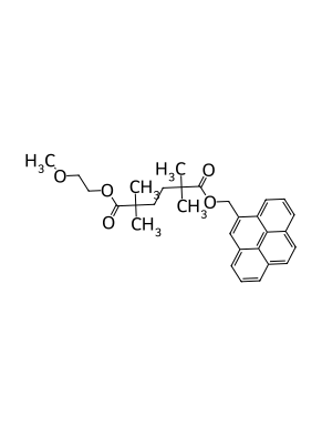 COCCOC(=O)C(C)(C)CCC(C)(C)C(=O)OCc1cc2cccc3ccc4cccc1c4c32